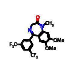 COc1cc2c(cc1OC)N(C)C(=O)CN=C2c1cc(C(F)(F)F)cc(C(F)(F)F)c1